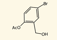 CC(=O)Oc1ccc(Br)cc1CO